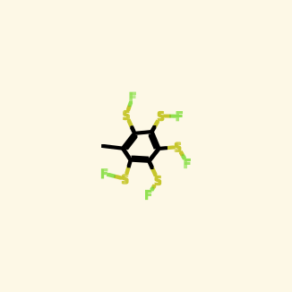 Cc1c(SF)c(SF)c(SF)c(SF)c1SF